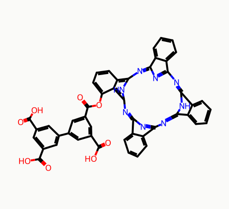 O=C(O)c1cc(C(=O)O)cc(-c2cc(C(=O)O)cc(C(=O)Oc3cccc4c5nc6nc(nc7[nH]c(nc8nc(nc([nH]5)c34)-c3ccccc3-8)c3ccccc73)-c3ccccc3-6)c2)c1